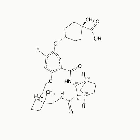 CCOc1cc(F)c(O[C@H]2CC[C@@](C)(C(=O)O)CC2)cc1C(=O)N[C@@H]1[C@H]2CC[C@H](C2)[C@@H]1C(=O)NCC1(C)CCC1